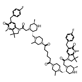 CC1CN(C(=O)CCCCC(=O)N2CCN(C[C@H]3CN[C@H](C)CN3CC(=O)N3CC(C)(C)c4c3cc(Cc3ccc(F)cc3)c(=O)n4C)C(C)C2)CCN1C[C@H]1CN[C@H](C)CN1CC(=O)N1CC(C)(C)c2c1cc(Cc1ccc(F)cc1)c(=O)n2C